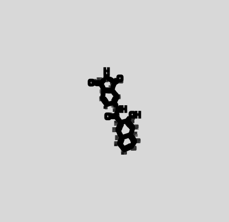 O=C(Nc1ccc2c(c1)C(=O)NC2=O)c1cc2ccccc2cc1O